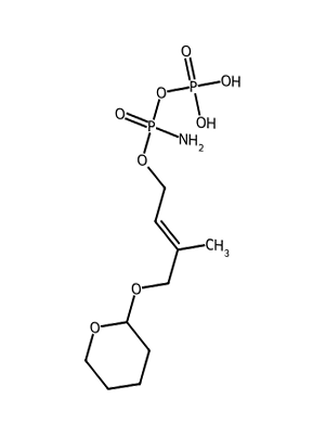 CC(=CCOP(N)(=O)OP(=O)(O)O)COC1CCCCO1